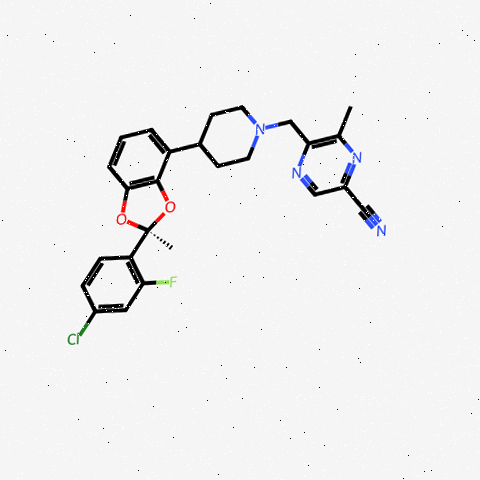 Cc1nc(C#N)cnc1CN1CCC(c2cccc3c2O[C@@](C)(c2ccc(Cl)cc2F)O3)CC1